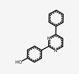 Oc1ccc(-c2nccc(-c3ccccc3)n2)cc1